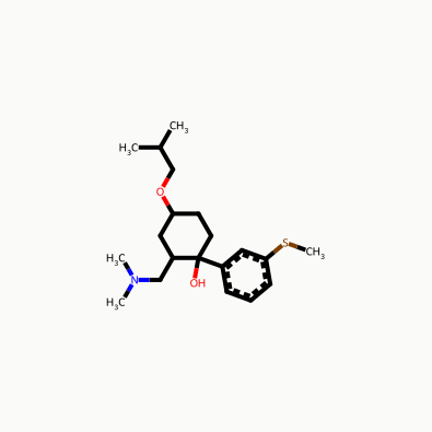 CSc1cccc(C2(O)CCC(OCC(C)C)CC2CN(C)C)c1